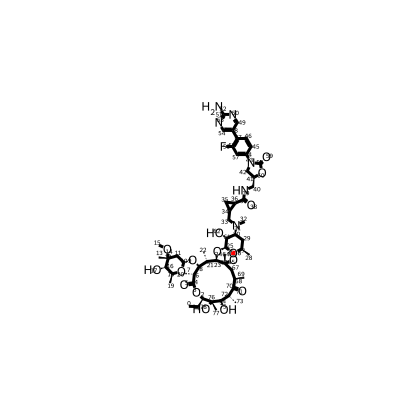 CC[C@H]1OC(=O)[C@H](C)[C@@H](O[C@H]2C[C@@](C)(OC)[C@@H](O)[C@H](C)O2)[C@H](C)[C@@H](O[C@@H]2O[C@H](C)C[C@H](N(C)CC3CC3C(=O)NC[C@H]3CN(c4ccc(-c5cnc(N)nc5)c(F)c4)C(=O)O3)[C@H]2O)[C@](C)(OC)C[C@@H](C)C(=O)[C@H](C)[C@@H](O)[C@]1(C)O